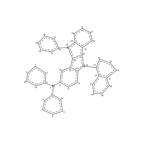 c1ccc(N(c2ccccc2)c2ccc3c(c2)c2c(c4ccccc4n2-c2ccccc2)n3-c2cccc3ccccc23)cc1